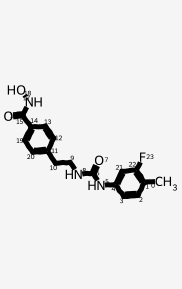 Cc1ccc(NC(=O)NCCc2ccc(C(=O)NO)cc2)cc1F